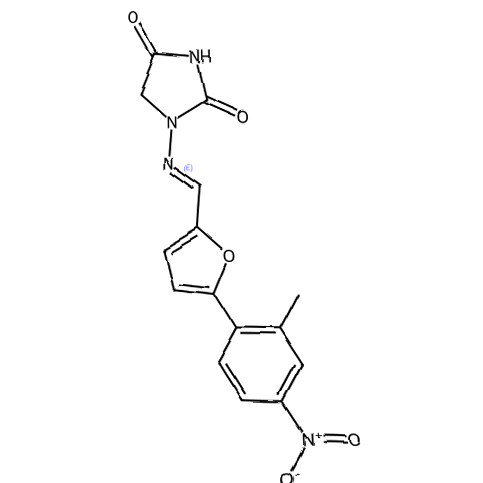 Cc1cc([N+](=O)[O-])ccc1-c1ccc(/C=N/N2CC(=O)NC2=O)o1